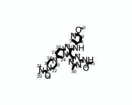 COc1ccc(Nc2nc3ccc(N4CCN(C(=O)N(C)C)CC4)cn3c2-c2nc(C)nc(NC(C)=O)n2)cn1